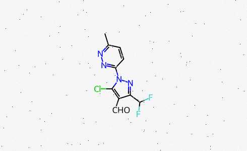 Cc1ccc(-n2nc(C(F)F)c(C=O)c2Cl)nn1